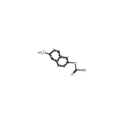 CCCCC(=O)Oc1ccc2cc(C(=O)O)ccc2c1